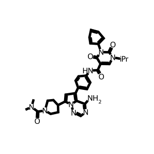 CC(C)n1cc(C(=O)Nc2ccc(-c3cc(C4CCN(C(=O)N(C)C)CC4)n4ncnc(N)c34)cc2)c(=O)n(-c2ccccc2)c1=O